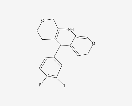 Fc1ccc(C2C3=CCOC=C3NC3=C2CCOC3)cc1I